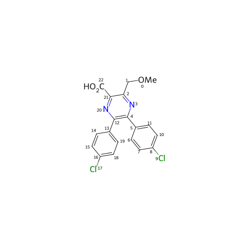 COCc1nc(-c2ccc(Cl)cc2)c(-c2ccc(Cl)cc2)nc1C(=O)O